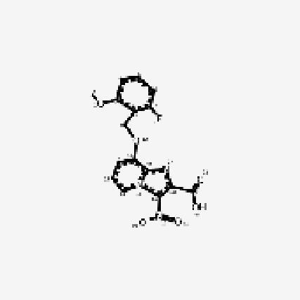 COc1cccc(F)c1COc1cccn2c([N+](=O)[O-])c(C(=O)O)nc12